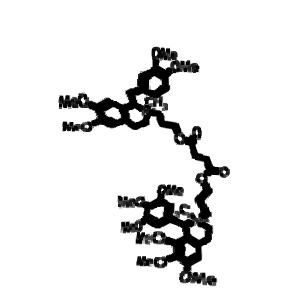 COc1ccc(CC2c3cc(OC)c(OC)cc3CC[N+]2(C)CCCOC(=O)CCC(=O)OCCC[N+]2(C)CCc3cc(OC)c(OC)c(OC)c3C2c2cc(OC)c(OC)c(OC)c2)cc1OC